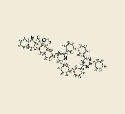 CC1(C)c2cc3ccccc3cc2-c2cc3ccc(-c4cc(-c5cccc(-c6cccc(-c7nc(-c8ccccc8)nc(-c8ccccc8)n7)c6)c5)nc(-c5ccccc5)n4)cc3cc21